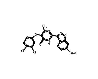 COc1ccc2c(-c3nc(C(F)(F)F)c(Oc4ccc(Cl)c(Cl)c4)c(=O)[nH]3)noc2c1